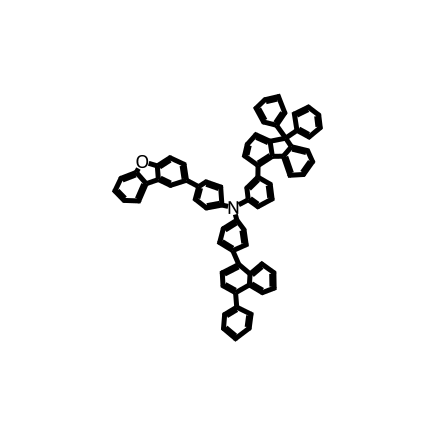 c1ccc(-c2ccc(-c3ccc(N(c4ccc(-c5ccc6oc7ccccc7c6c5)cc4)c4cccc(-c5cccc6c5-c5ccccc5C6(c5ccccc5)c5ccccc5)c4)cc3)c3ccccc23)cc1